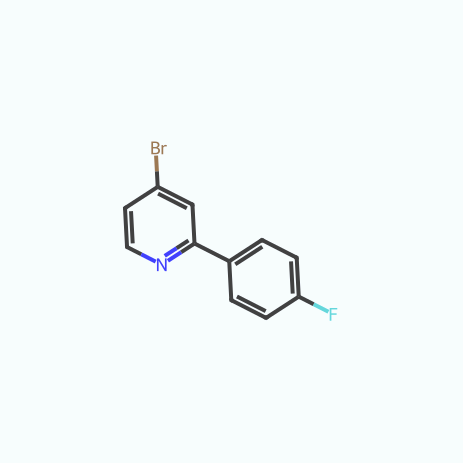 Fc1ccc(-c2cc(Br)ccn2)cc1